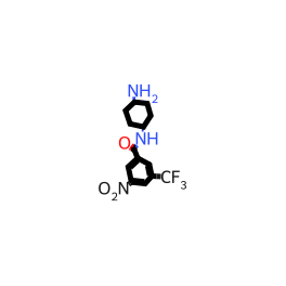 N[C@H]1CC[C@H](NC(=O)c2cc([N+](=O)[O-])cc(C(F)(F)F)c2)CC1